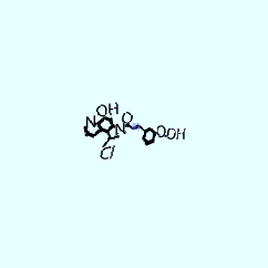 O=C(/C=C/c1cccc(OCO)c1)N1CC(CCl)c2c1cc(O)c1ncccc21